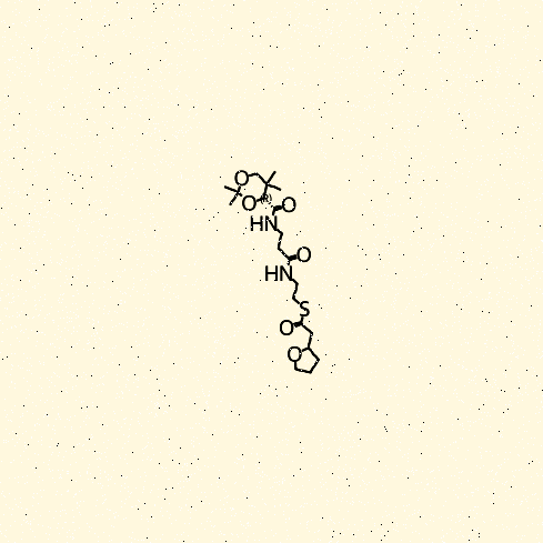 CC1(C)OCC(C)(C)[C@H](C(=O)NCCC(=O)NCCSC(=O)CC2CCCO2)O1